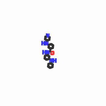 O=C(Nc1cccc(Nc2ccccc2)c1)c1cccc(Nc2ccncc2)c1